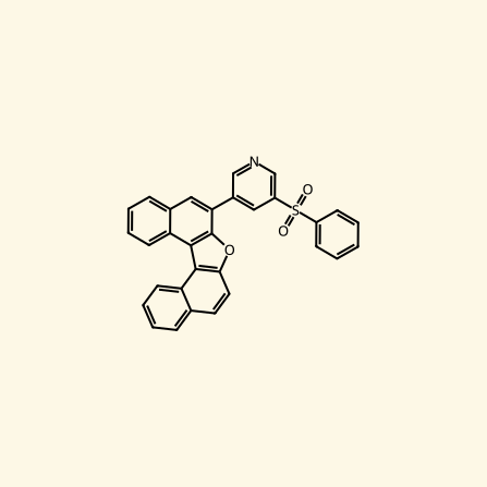 O=S(=O)(c1ccccc1)c1cncc(-c2cc3ccccc3c3c2oc2ccc4ccccc4c23)c1